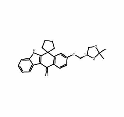 CC1(C)OC[C@H](COc2ccc3c(c2)C2(CCCC2)c2[nH]c4ccccc4c2C3=O)O1